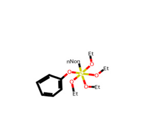 CCCCCCCCCS(OCC)(OCC)(OCC)(OCC)Oc1ccccc1